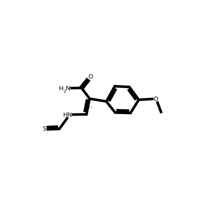 COc1ccc(/C(=C/NC=S)C(N)=O)cc1